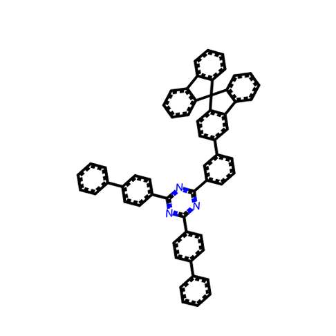 c1ccc(-c2ccc(-c3nc(-c4ccc(-c5ccccc5)cc4)nc(-c4cccc(-c5ccc6c(c5)-c5ccccc5C65c6ccccc6-c6ccccc65)c4)n3)cc2)cc1